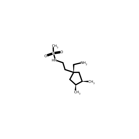 C[C@@H]1C[C@@](CN)(CCNS(C)(=O)=O)C[C@@H]1C